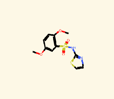 COc1ccc(OC)c(S(=O)(=O)Nc2nccs2)c1